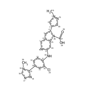 Cn1cc(-c2cc3cnc(Nc4ccc(-c5nncn5C)cc4Cl)cc3n2C(=O)O)cn1